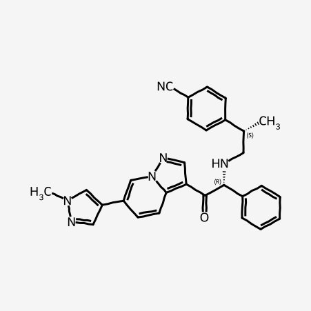 C[C@H](CN[C@@H](C(=O)c1cnn2cc(-c3cnn(C)c3)ccc12)c1ccccc1)c1ccc(C#N)cc1